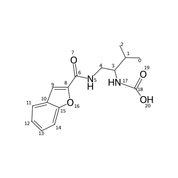 CC(C)C(CNC(=O)c1cc2ccccc2o1)NC(=O)O